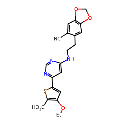 CCOc1cc(-c2cc(NCCc3cc4c(cc3C#N)OCO4)ncn2)sc1C(=O)O